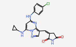 O=C1CC(=Cc2cnn3c(NC4CC4)cc(Nc4ccc(Cl)cc4)nc23)C(=O)N1